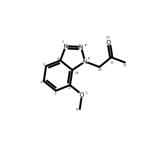 COc1cccc2nnn(CC(C)=O)c12